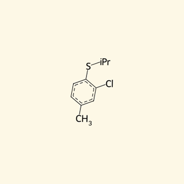 Cc1ccc(SC(C)C)c(Cl)c1